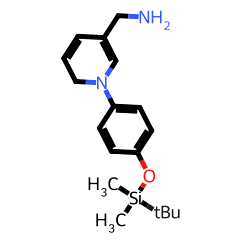 CC(C)(C)[Si](C)(C)Oc1ccc(N2C=C(CN)C=CC2)cc1